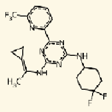 CC(Nc1nc(NC2CCC(F)(F)CC2)nc(-c2cccc(C(F)(F)F)n2)n1)=C1CC1